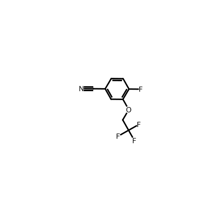 N#Cc1ccc(F)c(OCC(F)(F)F)c1